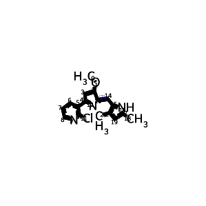 COC1=CC(c2cccnc2Cl)=N/C1=C\c1[nH]c(C)cc1C